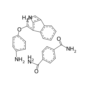 NC(=O)c1ccc(C(N)=O)cc1.Nc1ccc(Oc2ccc3c(N)c2-c2ccccc2-3)cc1